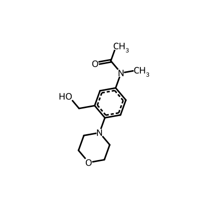 CC(=O)N(C)c1ccc(N2CCOCC2)c(CO)c1